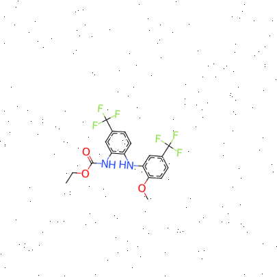 CCOC(=O)Nc1cc(C(F)(F)F)ccc1Nc1cc(C(F)(F)F)ccc1OC